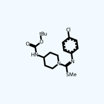 CSC(=Nc1ccc(Cl)cc1)N1CCC(NC(=O)OC(C)(C)C)CC1